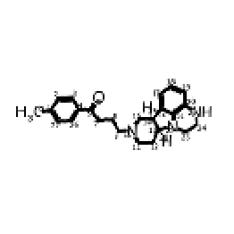 Cc1ccc(C(=O)CCCN2CC[C@H]3[C@@H](C2)c2cccc4c2N3CCN4)cc1